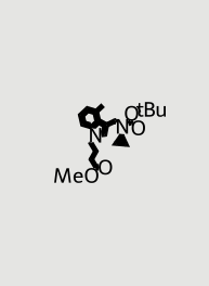 COC(=O)CCCn1cc(CN(C(=O)OC(C)(C)C)C2CC2)c2c(C)cccc21